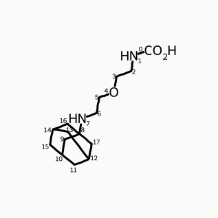 O=C(O)NCCOCCNC12CC3CC(CC(C3)C1)C2